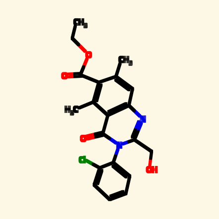 CCOC(=O)c1c(C)cc2nc(CO)n(-c3ccccc3Cl)c(=O)c2c1C